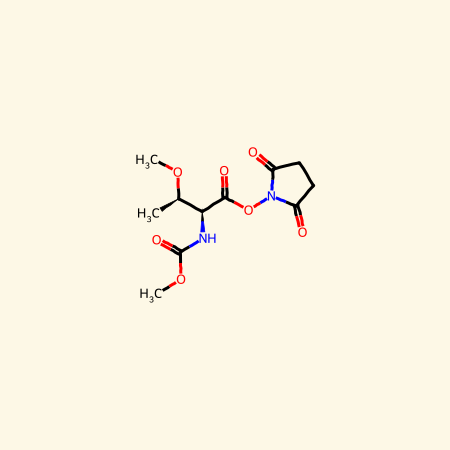 COC(=O)N[C@H](C(=O)ON1C(=O)CCC1=O)[C@@H](C)OC